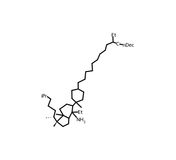 CCCCCCCCCCCC(CC)CCCCCCCCCC1CCC(C)(C2CCC3(C)C(CC[C@]3(C)[C@H](C)CCCC(C)C)C2(N)CC)CC1